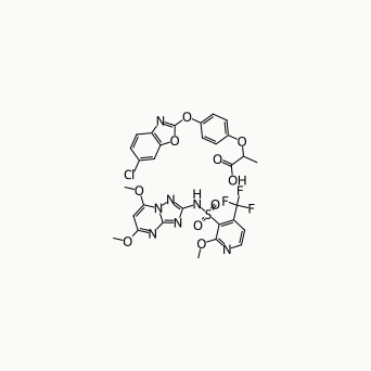 CC(Oc1ccc(Oc2nc3ccc(Cl)cc3o2)cc1)C(=O)O.COc1cc(OC)n2nc(NS(=O)(=O)c3c(C(F)(F)F)ccnc3OC)nc2n1